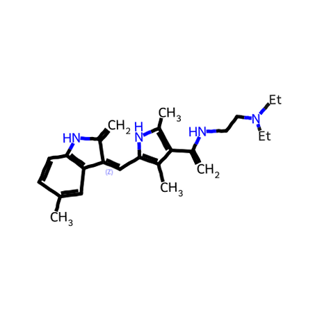 C=C(NCCN(CC)CC)c1c(C)[nH]c(/C=c2\c(=C)[nH]c3ccc(C)cc23)c1C